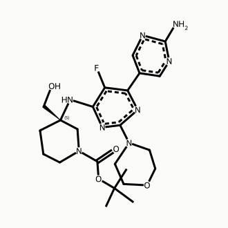 CC(C)(C)OC(=O)N1CCC[C@](CO)(Nc2nc(N3CCOCC3)nc(-c3cnc(N)nc3)c2F)C1